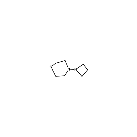 C1CN(N2CC[N]CC2)C1